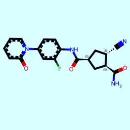 N#C[C@H]1C[C@H](C(=O)Nc2ccc(-n3ccccc3=O)cc2F)C[C@@H]1C(N)=O